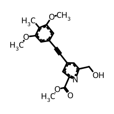 COC(=O)c1cc(C#Cc2cc(OC)c(C)c(OC)c2)cc(CO)n1